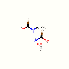 C.CNC(O)=S.NC(O)=S.O.[KH]